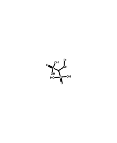 CCNC(P(=O)(O)O)P(=O)(O)O